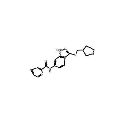 O=C(Nc1ccc2c(OCC3CCOC3)n[nH]c2c1)c1ccccn1